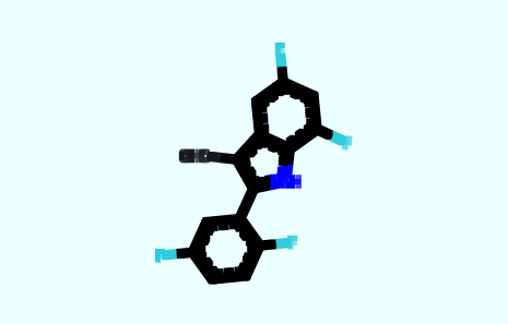 O=Cc1c(-c2cc(F)ccc2F)[nH]c2c(F)cc(F)cc12